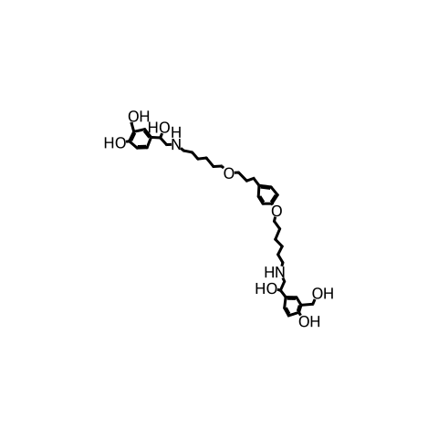 OCc1cc(C(O)CNCCCCCCOCCCc2ccc(OCCCCCCNCC(O)c3ccc(O)c(CO)c3)cc2)ccc1O